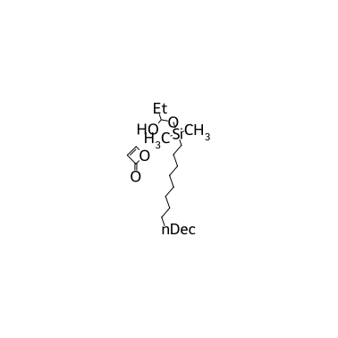 CCCCCCCCCCCCCCCCCC[Si](C)(C)OC(O)CC.O=C1C=CO1